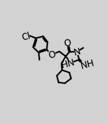 Cc1cc(Cl)ccc1OCC1(CC2CCCCC2)NC(=N)N(C)C1=O